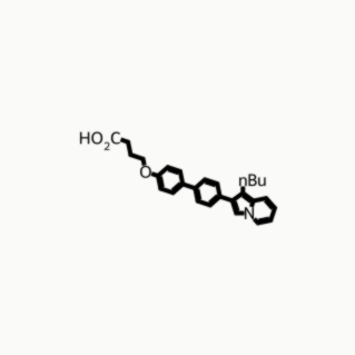 CCCCc1c(-c2ccc(-c3ccc(OCCCC(=O)O)cc3)cc2)cn2ccccc12